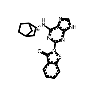 O=c1c2ccccc2sn1-c1nc(N[C@@H]2CC3CCC2C3)c2nc[nH]c2n1